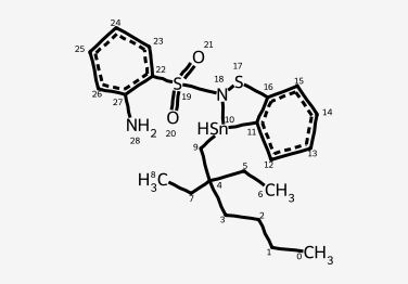 CCCCC(CC)(CC)[CH2][SnH]1[c]2ccccc2S[N]1S(=O)(=O)c1ccccc1N